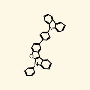 c1ccc(-n2c3ccccc3c3c4cc(-c5ccc(-n6c7ccccc7c7ccccc76)cc5)ccc4oc32)cc1